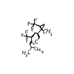 C\C=C(/C=C(\C=C\C(C)C)C(F)(F)F)C1(C)CC1C(F)(F)F